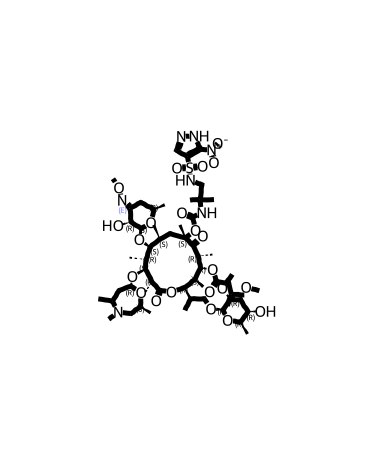 CO/N=C1\C[C@@H](C)O[C@@H](O[C@@H]2[C@@H](C)[C@H](O[C@H]3CC(C)N(C)C[C@H](C)O3)[C@@H](C)C(=O)O[C@H](C(C)CO[C@@H]3O[C@H](C)[C@@H](O)[C@@H](OC)[C@H]3OC)[C@H](C)[C@@H](OC(=O)CC(C)C)[C@@H](C)C(=O)[C@@](C)(OC(=O)NC(C)(C)CNS(=O)(=O)c3cn[nH]c3[N+](=O)[O-])C[C@@H]2C)[C@@H]1O